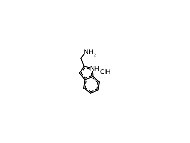 Cl.NCc1cc2ccccc2[nH]1